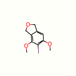 COc1cc2c(c(OC)c1I)COC2